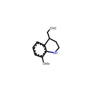 COc1cccc2c1NCCC2CC=O